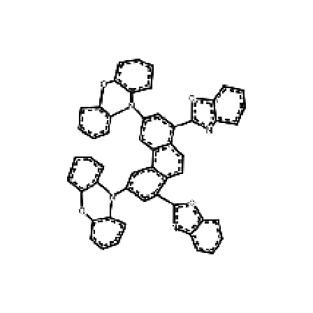 c1ccc2c(c1)Oc1ccccc1N2c1cc(-c2nc3ccccc3o2)c2ccc3c(-c4nc5ccccc5o4)cc(N4c5ccccc5Oc5ccccc54)cc3c2c1